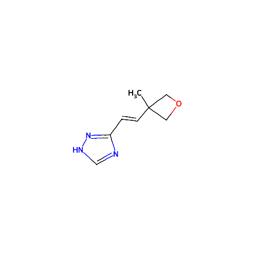 CC1(C=Cc2nc[nH]n2)COC1